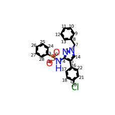 O=S(=O)(Nc1nn(Cc2ccccc2)cc1-c1ccc(Cl)cc1)c1ccccc1